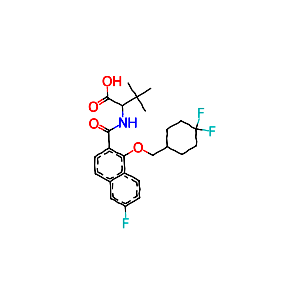 CC(C)(C)C(NC(=O)c1ccc2cc(F)ccc2c1OCC1CCC(F)(F)CC1)C(=O)O